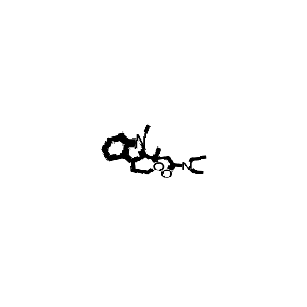 CCN(CC)C(=O)CC1(C)OCCc2c1n(C)c1ccccc21